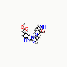 COC(=O)Cc1ccc(Nc2ncc(C)c(N3CCC4(CCNC4=O)CC3)n2)cc1